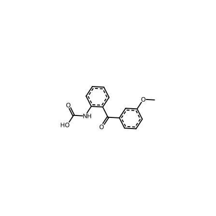 COc1cccc(C(=O)c2ccccc2NC(=O)O)c1